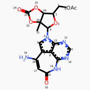 CC(=O)OCC1OC(n2cc3c4c(ncnc42)NC(=O)C=C3N)C2(C)OC(=O)OC12